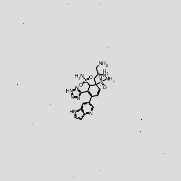 NCC(N)CC1(S(N)(=O)=O)C=CC(c2cnc3cc[nH]c3c2)=C(c2nn[nH]n2)C1S(N)(=O)=O